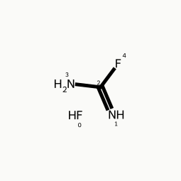 F.N=C(N)F